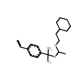 C=Cc1ccc(C(OC(C)OCCC2CCCCC2)(C(F)(F)F)C(F)(F)F)cc1